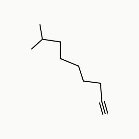 [C]#CCCCCCC(C)C